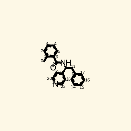 Cc1ccccc1C(=O)NC(Cc1ccccc1)c1ccncc1